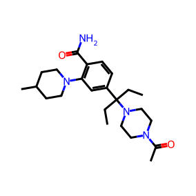 CCC(CC)(c1ccc(C(N)=O)c(N2CCC(C)CC2)c1)N1CCN(C(C)=O)CC1